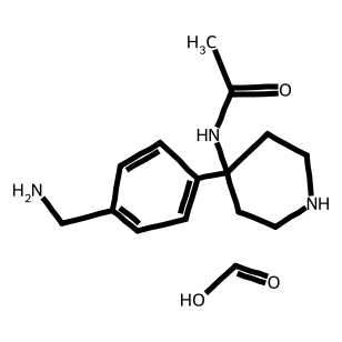 CC(=O)NC1(c2ccc(CN)cc2)CCNCC1.O=CO